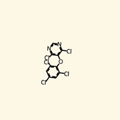 Clc1cc(Cl)c(Oc2c(Cl)ncnc2Cl)c(Cl)c1